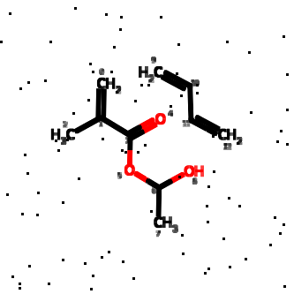 C=C(C)C(=O)OC(C)O.C=CC=C